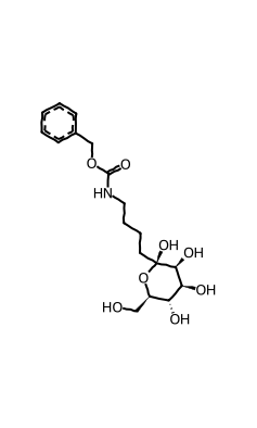 O=C(NCCCC[C@@]1(O)O[C@H](CO)[C@@H](O)[C@H](O)[C@@H]1O)OCc1ccccc1